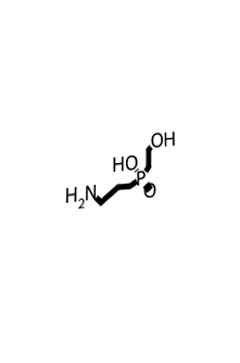 NCCCP(=O)(O)CCO